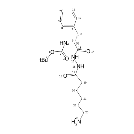 CC(C)(C)OC(=O)N[C@H](Cc1ccccc1)C(=O)NNC(=O)CCCCCN